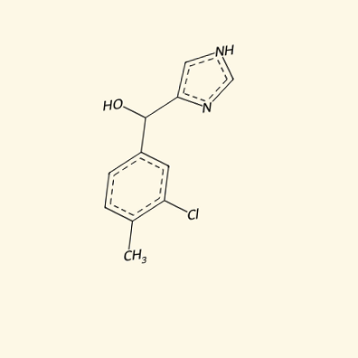 Cc1ccc(C(O)c2c[nH]cn2)cc1Cl